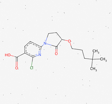 CC(C)(C)CCCOC1CCN(c2ccc(C(=O)O)c(Cl)n2)C1=O